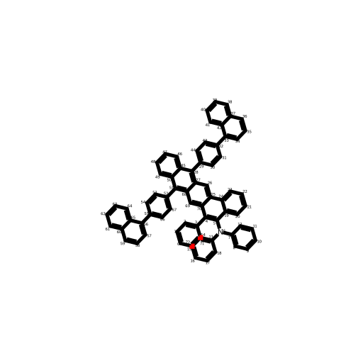 c1ccc(-c2c(N(c3ccccc3)c3ccccc3)c3ccccc3c3cc4c(-c5ccc(-c6cccc7ccccc67)cc5)c5ccccc5c(-c5ccc(-c6cccc7ccccc67)cc5)c4cc23)cc1